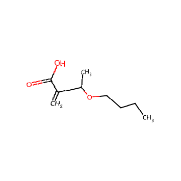 C=C(C(=O)O)C(C)OCCCC